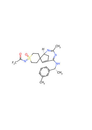 CC1=N[C@H]2CC(=CC23CCS(=O)(=NC(=O)C(F)(F)F)CC3)C(N[C@H](C)c2cccc(C)c2)=N1